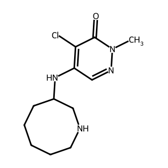 Cn1ncc(NC2CCCCCNC2)c(Cl)c1=O